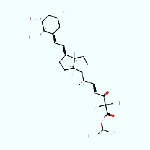 CC(C)OC(=O)C(C)(C)C(=O)/C=C/[C@@H](C)[C@H]1CC[C@H]2/C(=C/C=C3C[C@@H](O)C[C@@H](O)[C@@H]3C)CC[C@]12C